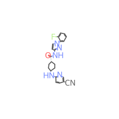 N#Cc1ccc(N[C@H]2CC[C@@H](C(=O)Nc3ccn(-c4ccccc4F)n3)CC2)nc1